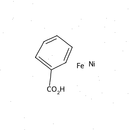 O=C(O)c1ccccc1.[Fe].[Ni]